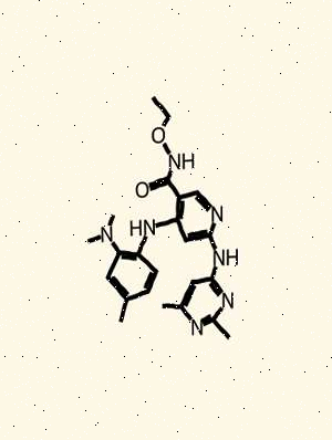 CCONC(=O)c1cnc(Nc2cc(C)nc(C)n2)cc1Nc1ccc(C)cc1N(C)C